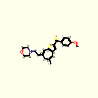 COc1ccc(C(=S)c2cc3c(s2)C=C(CCN2CCOCC2)CC(C)=C3)cc1